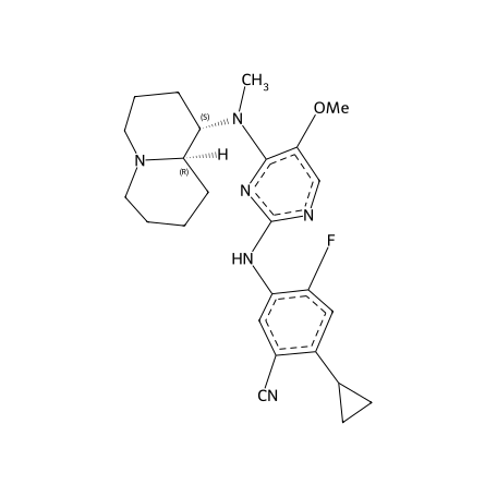 COc1cnc(Nc2cc(C#N)c(C3CC3)cc2F)nc1N(C)[C@H]1CCCN2CCCC[C@H]12